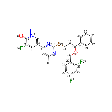 Cc1cc(-c2c[nH]c(=O)c(F)c2)nc(SCCC(OCc2ccc(F)cc2F)c2ccccc2)n1